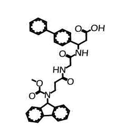 COC(=O)N(CCC(=O)NCC(=O)NC(CC(=O)O)c1ccc(-c2ccccc2)cc1)C1c2ccccc2-c2ccccc21